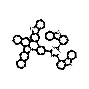 c1ccc2cc3c(cc2c1)c1c2ccccc2ccc1n3-c1ccc(-c2nc(-c3cccc4sc5ccccc5c34)nc(-c3cccc4sc5ccccc5c34)n2)cc1-c1ccc2oc3ccccc3c2c1